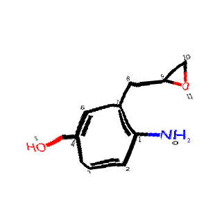 Nc1ccc(O)cc1CC1CO1